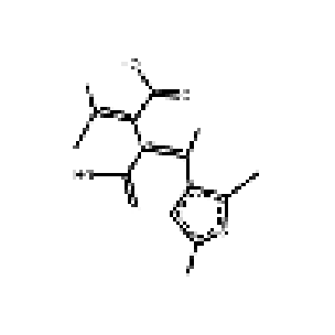 CC(C)=C(C(=O)O)/C(C(=O)O)=C(\C)c1cc(C)sc1C